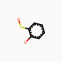 [O]Sc1ccccc1[O]